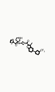 Cc1c(C(=O)N2CC(N[C@@]3(C(=O)c4nccs4)CCNC3)C2)sc2ccc(-c3cccc(C(F)(F)F)c3)cc12